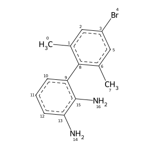 Cc1cc(Br)cc(C)c1-c1cccc(N)c1N